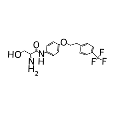 N[C@@H](CO)C(=O)Nc1ccc(OCCc2ccc(C(F)(F)F)cc2)cc1